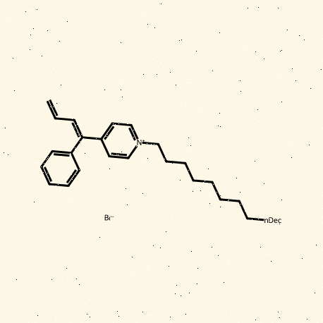 C=C/C=C(\c1ccccc1)c1cc[n+](CCCCCCCCCCCCCCCCCC)cc1.[Br-]